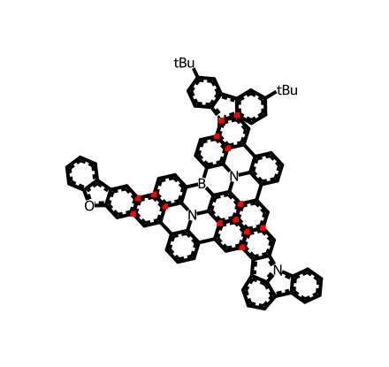 CC(C)(C)c1ccc2c(c1)c1cc(C(C)(C)C)ccc1n2-c1ccc2c(c1)N(c1c(-c3ccccc3)cccc1-c1ccccc1)c1cc(-c3ccc4c(c3)c3cccc5c6ccccc6n4c53)cc3c1B2c1ccc(-c2ccc4oc5ccccc5c4c2)cc1N3c1c(-c2ccccc2)cccc1-c1ccccc1